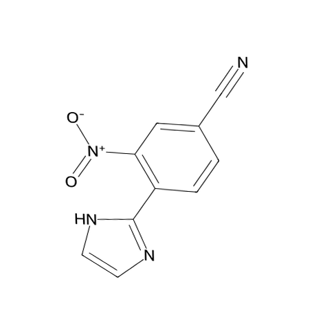 N#Cc1ccc(-c2ncc[nH]2)c([N+](=O)[O-])c1